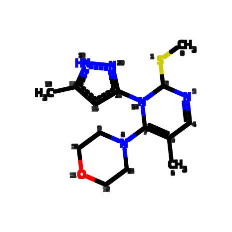 CSC1N=CC(C)=C(N2CCOCC2)N1c1cc(C)[nH]n1